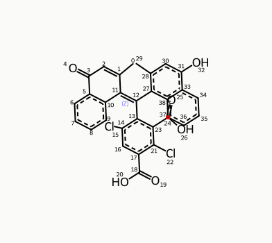 CC1=CC(=O)c2ccccc2/C1=C(\c1c(Cl)cc(C(=O)O)c(Cl)c1C(=O)O)c1c(C)cc(O)c2ccccc12